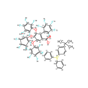 CC(C)(C)c1ccc([S+](c2ccccc2)c2ccccc2)cc1.O=C([O-])c1cc(Oc2c(F)c(F)c(F)c(F)c2F)c(Oc2c(F)c(F)c(F)c(F)c2F)c(Oc2c(F)c(F)c(F)c(F)c2F)c1-c1c(F)c(F)c(F)c(F)c1F